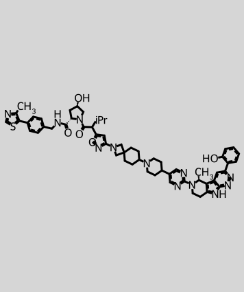 Cc1ncsc1-c1ccc(CNC(=O)[C@@H]2C[C@@H](O)CN2C(=O)C(c2cc(N3CC4(CCC(N5CCC(c6cnc(N7CCc8[nH]c9nnc(-c%10ccccc%10O)cc9c8[C@@H]7C)nc6)CC5)CC4)C3)no2)C(C)C)cc1